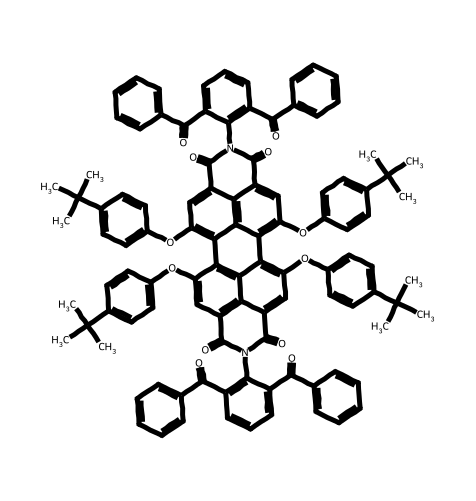 CC(C)(C)c1ccc(Oc2cc3c4c(cc(Oc5ccc(C(C)(C)C)cc5)c5c6c(Oc7ccc(C(C)(C)C)cc7)cc7c8c(cc(Oc9ccc(C(C)(C)C)cc9)c(c2c45)c86)C(=O)N(c2c(C(=O)c4ccccc4)cccc2C(=O)c2ccccc2)C7=O)C(=O)N(c2c(C(=O)c4ccccc4)cccc2C(=O)c2ccccc2)C3=O)cc1